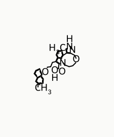 Cc1ccc2c(OCCCc3c(C(=O)O)n4c5c(cccc35)-c3c(n[nH]c3C)COCCCC4)cccc2c1